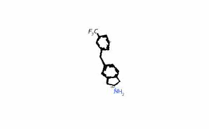 N[C@H]1Cc2ccc(Cc3c[c]cc(C(F)(F)F)c3)cc2C1